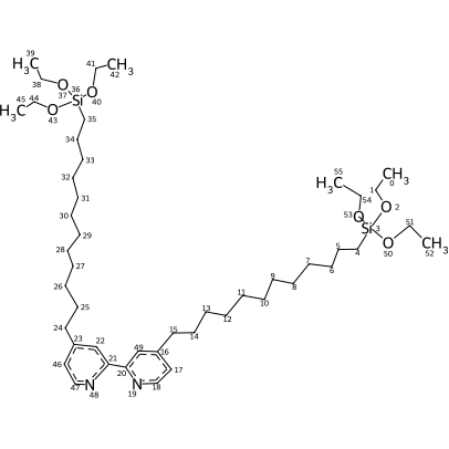 CCO[Si](CCCCCCCCCCCCc1ccnc(-c2cc(CCCCCCCCCCCC[Si](OCC)(OCC)OCC)ccn2)c1)(OCC)OCC